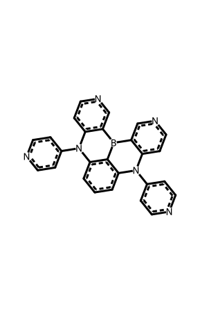 c1cc2c3c(c1)N(c1ccncc1)c1ccncc1B3c1cnccc1N2c1ccncc1